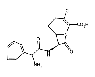 NC(C(=O)N[C@@H]1C(=O)N2C(C(=O)O)=C(Cl)CCC12)c1ccccc1